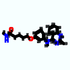 CNC(=O)CCCCOc1cccc(N(C)c2nc(C)nc3ccccc23)c1